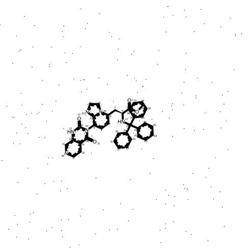 COC(=O)[C@H](Cc1ccc(-n2c(=O)[nH]c3cnccc3c2=O)c2nccn12)NC(c1ccccc1)(c1ccccc1)c1ccccc1